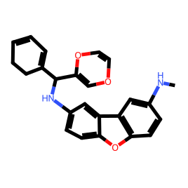 CNc1ccc2oc3ccc(NC(C4=CC=CCC4)C4=COC=CO4)cc3c2c1